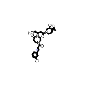 O=C(/C=C/c1cccc(Cl)c1)N1CCC(=O)N(C(CO)CC(=O)N2CCC3(CC3)[C@H](O)C2)CC1